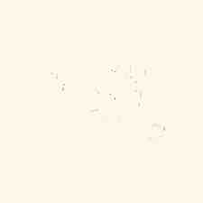 NC(=O)OCC1=C(C(=O)O)N2C(=O)[C@@](NC=O)(NC(=O)Cc3cccs3)[C@H]2[S+]([O-])C1